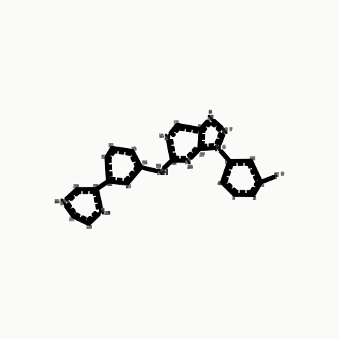 Fc1cccc(-n2nnc3cnc(Nc4cccc(-c5cnccn5)c4)nc32)c1